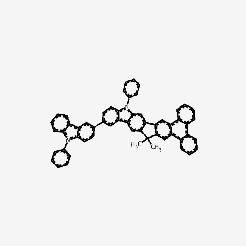 CC1(C)c2cc3c4ccccc4c4ccccc4c3cc2-c2cc3c(cc21)c1cc(-c2ccc4c(c2)c2ccccc2n4-c2ccccc2)ccc1n3-c1ccccc1